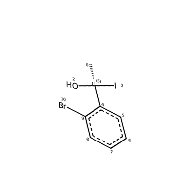 C[C@](O)(I)c1ccccc1Br